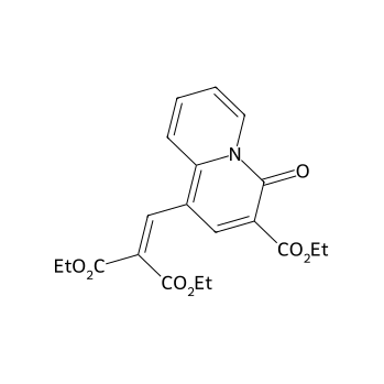 CCOC(=O)C(=Cc1cc(C(=O)OCC)c(=O)n2ccccc12)C(=O)OCC